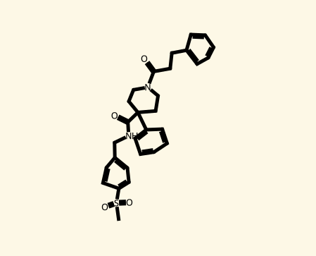 CS(=O)(=O)c1ccc(CNC(=O)C2(c3ccccc3)CCN(C(=O)CCc3ccccc3)CC2)cc1